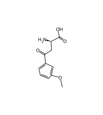 COc1cccc(C(=O)C[C@@H](N)C(=O)O)c1